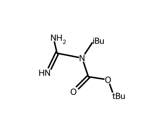 CCC(C)N(C(=N)N)C(=O)OC(C)(C)C